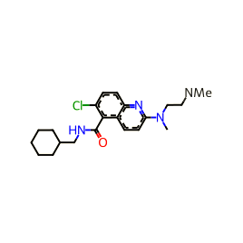 CNCCN(C)c1ccc2c(C(=O)NCC3CCCCC3)c(Cl)ccc2n1